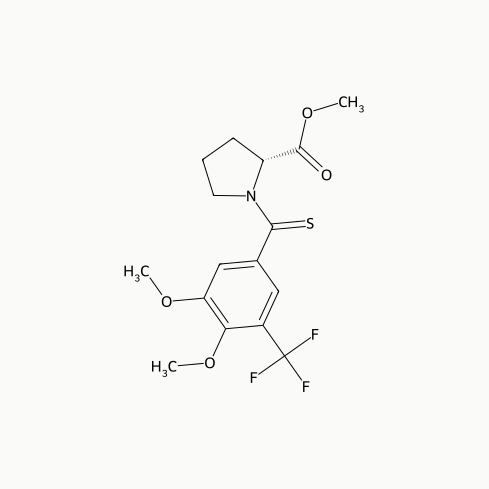 COC(=O)[C@H]1CCCN1C(=S)c1cc(OC)c(OC)c(C(F)(F)F)c1